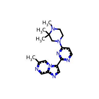 Cc1cn2c(-c3nccc(N4CCN(C)C(C)(C)C4)n3)cnc2cn1